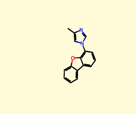 Cc1cn(-c2cccc3c2oc2ccccc23)cn1